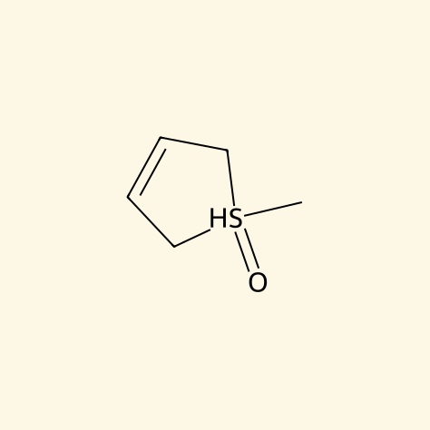 C[SH]1(=O)CC=CC1